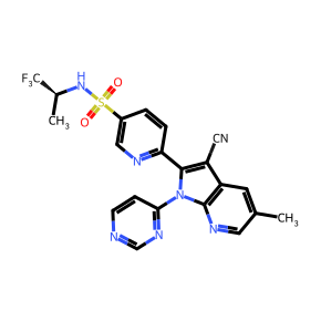 Cc1cnc2c(c1)c(C#N)c(-c1ccc(S(=O)(=O)N[C@@H](C)C(F)(F)F)cn1)n2-c1ccncn1